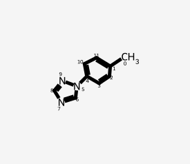 Cc1ccc(-n2cn[c]n2)cc1